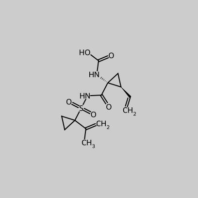 C=C[C@@H]1C[C@]1(NC(=O)O)C(=O)NS(=O)(=O)C1(C(=C)C)CC1